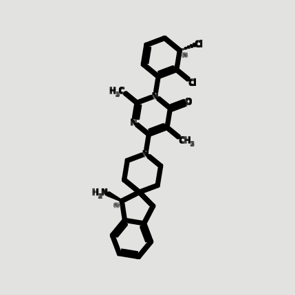 Cc1c(N2CCC3(CC2)Cc2ccccc2[C@H]3N)nc(C)n(C2=C(Cl)[C@@H](Cl)CC=C2)c1=O